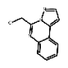 ClCc1nc2ccccc2c2ccnn12